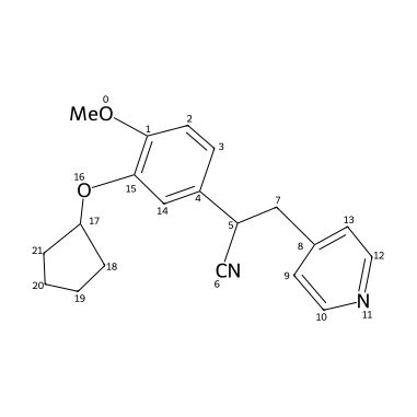 COc1ccc(C(C#N)Cc2ccncc2)cc1OC1CCCC1